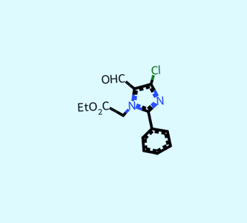 CCOC(=O)Cn1c(-c2ccccc2)nc(Cl)c1C=O